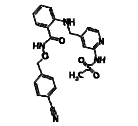 CS(=O)(=O)Nc1cc(CNc2ccccc2C(=O)NOCc2ccc(C#N)cc2)ccn1